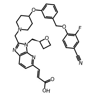 N#Cc1ccc(OCc2cccc(OC3CCN(Cc4nc5ccc(/C=C/C(=O)O)nc5n4C[C@@H]4CCO4)CC3)c2)c(F)c1